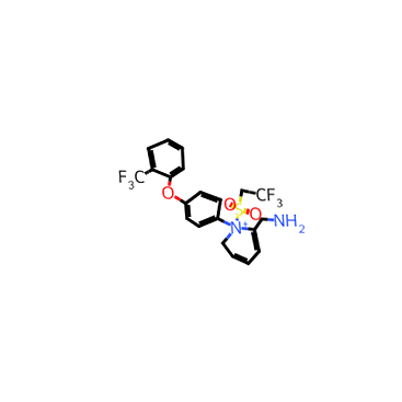 NCC1=CC=CC[N+]1(c1ccc(Oc2ccccc2C(F)(F)F)cc1)S(=O)(=O)CC(F)(F)F